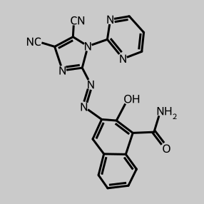 N#Cc1nc(/N=N/c2cc3ccccc3c(C(N)=O)c2O)n(-c2ncccn2)c1C#N